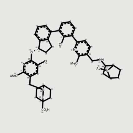 COc1nc(-c2cccc(-c3cccc4c3CC[C@@H]4Oc3nc(OC)c(CN4CC5(C(=O)O)CCC4CC5)cc3Cl)c2Cl)ccc1CNC1CC2CCC1N2C(C)=O